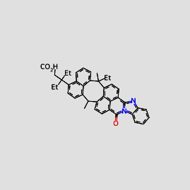 CCC(CC)(CC(=O)O)c1ccc2c3c(cccc13)C(C)(CC)c1ccc3c4c1c(ccc4c(=O)n1c4ccccc4nc31)C2C